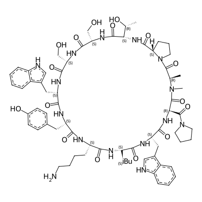 CC[C@H](C)[C@@H]1NC(=O)[C@H](CCCCN)NC(=O)[C@H](Cc2ccc(O)cc2)NC(=O)[C@H](Cc2c[nH]c3ccccc23)NC(=O)[C@H](CO)NC(=O)[C@H](CO)NC(=O)[C@H]([C@@H](C)O)NC(=O)[C@@H]2CCCN2C(=O)[C@@H](C)N(C)C(=O)[C@@H](C(=O)N2CCCC2)NC(=O)[C@H](Cc2c[nH]c3ccccc23)NC1=O